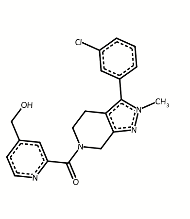 Cn1nc2c(c1-c1cccc(Cl)c1)CCN(C(=O)c1cc(CO)ccn1)C2